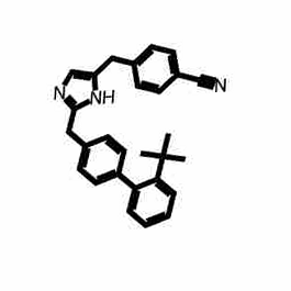 CC(C)(C)c1ccccc1-c1ccc(Cc2ncc(Cc3ccc(C#N)cc3)[nH]2)cc1